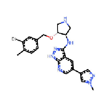 CCc1cc(CO[C@@H]2CNC[C@H]2Nc2n[nH]c3ncc(-c4cnn(C)c4)cc23)ccc1C